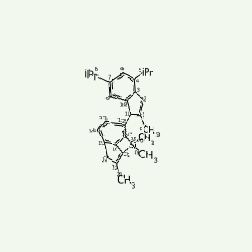 CC1=Cc2c(C(C)C)cc(C(C)C)cc2C1c1ccc2c3c1[Si](C)(C)C3=C(C)[CH]2